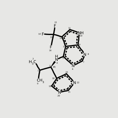 CC(C)[C@@H](Nc1ncnc2[nH]cc(C(F)(F)F)c12)c1cncnc1